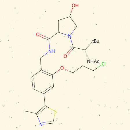 CC(=O)N[C@H](C(=O)N1CC(O)CC1C(=O)NCc1ccc(-c2scnc2C)cc1OCCCCl)C(C)(C)C